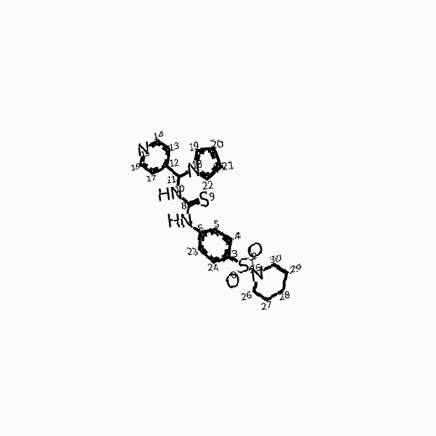 O=S(=O)(c1ccc(NC(=S)NC(c2ccncc2)n2cccc2)cc1)N1CCCCC1